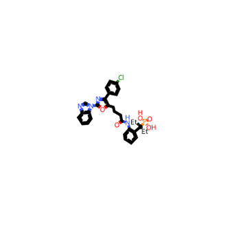 CCC(CC)(c1ccccc1NC(=O)CCCc1oc(-n2cnc3ccccc32)nc1-c1ccc(Cl)cc1)P(=O)(O)O